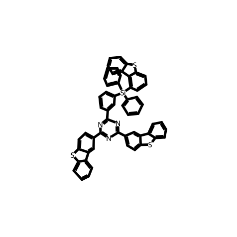 c1ccc([Si](c2ccccc2)(c2cccc(-c3nc(-c4ccc5sc6ccccc6c5c4)nc(-c4ccc5sc6ccccc6c5c4)n3)c2)c2cccc3sc4ccccc4c23)cc1